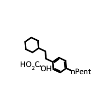 CCCCCc1ccc(CCC2CCCCC2)cc1.O=C(O)O